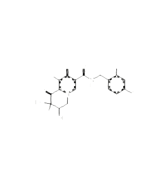 CC1(C)C(=O)c2c(O)c(=O)c(C(=O)NCc3ccc(F)cc3F)cn2CC1O